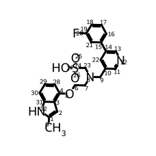 Cc1cc2c(OCCN(Cc3cncc(-c4cccc(F)c4)c3)CS(=O)(=O)O)cccc2[nH]1